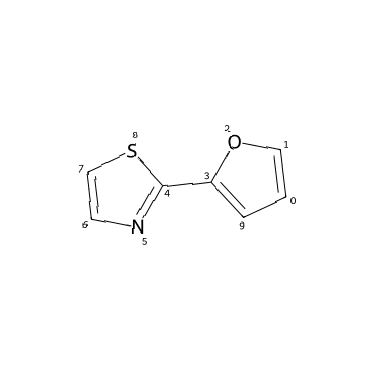 c1coc(-c2nccs2)c1